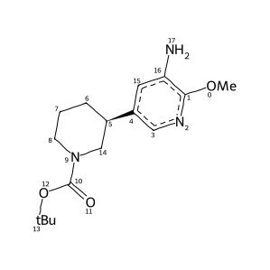 COc1ncc([C@@H]2CCCN(C(=O)OC(C)(C)C)C2)cc1N